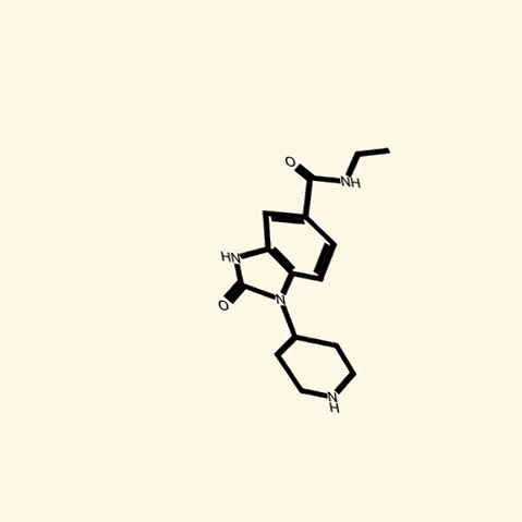 CCNC(=O)c1ccc2c(c1)[nH]c(=O)n2C1CCNCC1